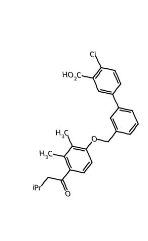 Cc1c(OCc2cccc(-c3ccc(Cl)c(C(=O)O)c3)c2)ccc(C(=O)CC(C)C)c1C